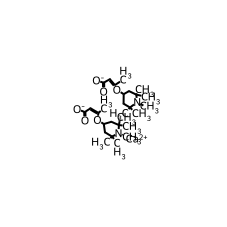 C/C(=C/C(=O)[O-])OC1CC(C)(C)N(C)C(C)(C)C1.C/C(=C/C(=O)[O-])OC1CC(C)(C)N(C)C(C)(C)C1.[Ca+2]